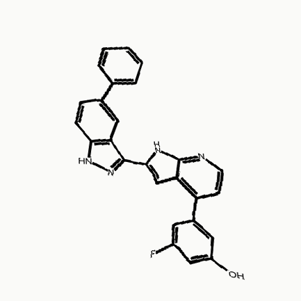 Oc1cc(F)cc(-c2ccnc3[nH]c(-c4n[nH]c5ccc(-c6ccccc6)cc45)cc23)c1